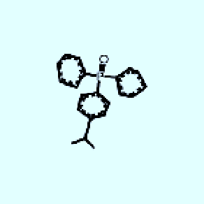 CC(C)c1ccc(P(=O)(c2ccccc2)c2ccccc2)cc1